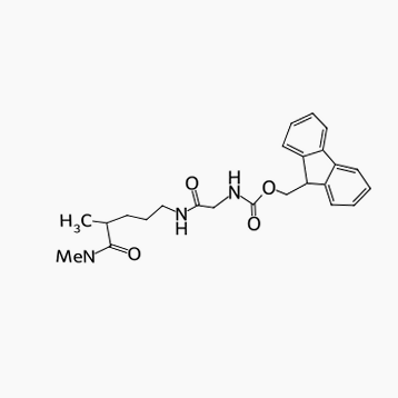 CNC(=O)C(C)CCCNC(=O)CNC(=O)OCC1c2ccccc2-c2ccccc21